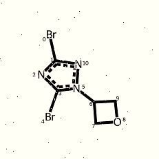 Brc1nc(Br)n(C2COC2)n1